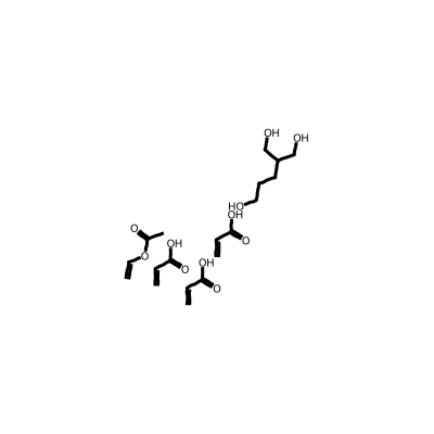 C=CC(=O)O.C=CC(=O)O.C=CC(=O)O.C=COC(C)=O.OCCCC(CO)CO